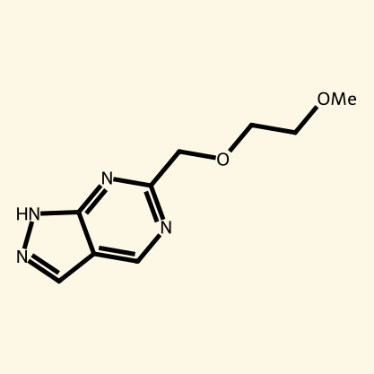 COCCOCc1ncc2cn[nH]c2n1